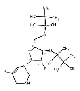 CC(C)(C)[Si](C)(C)OC[C@H]1O[C@@H](N2C=C(F)CNC2)[C@@H](F)[C@@H]1O[Si](C)(C)C(C)(C)C